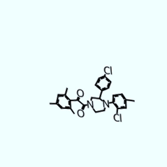 Cc1cc(C)c(C(=O)C(=O)N2CCN(c3ccc(C)cc3Cl)C(c3ccc(Cl)cc3)C2)c(C)c1